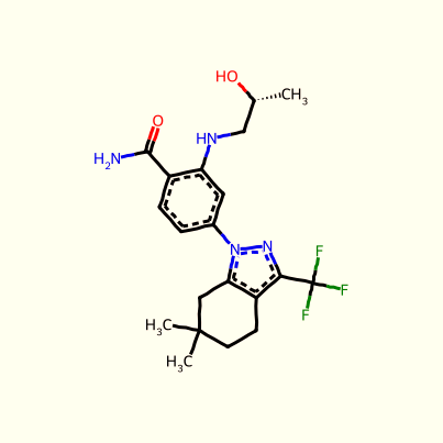 C[C@@H](O)CNc1cc(-n2nc(C(F)(F)F)c3c2CC(C)(C)CC3)ccc1C(N)=O